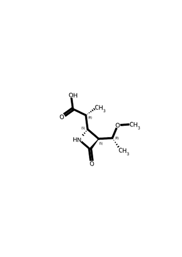 CO[C@H](C)[C@H]1C(=O)N[C@@H]1[C@@H](C)C(=O)O